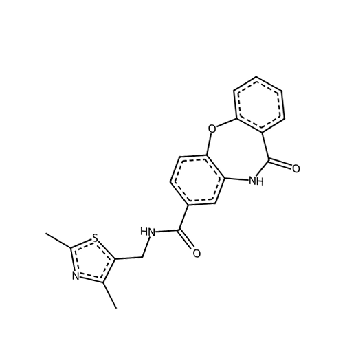 Cc1nc(C)c(CNC(=O)c2ccc3c(c2)NC(=O)c2ccccc2O3)s1